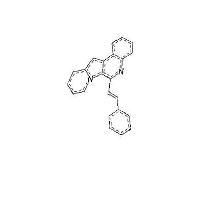 C(=C\c1nc2ccccc2c2cc3ccccn3c12)/c1ccccc1